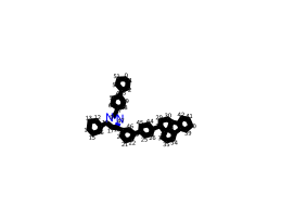 c1ccc(-c2ccc(-c3nc(-c4ccccc4)cc(-c4cccc(-c5ccc(-c6ccc7c8c(cccc68)-c6ccccc6-7)cc5)c4)n3)cc2)cc1